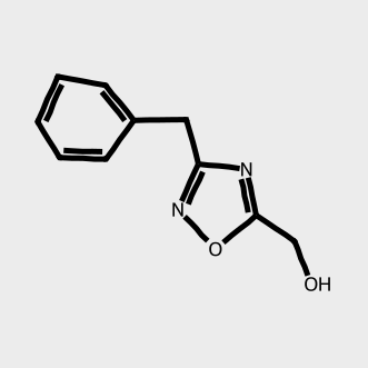 OCc1nc(Cc2ccccc2)no1